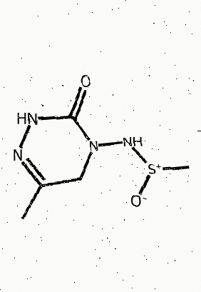 CC1=NNC(=O)N(N[S+](C)[O-])C1